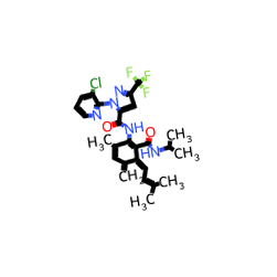 C=c1cc(C)c(NC(=O)c2cc(C(F)(F)F)nn2-c2ncccc2Cl)c(C(=O)NC(C)C)/c1=C/C=C(C)C